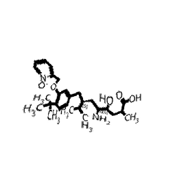 CC(C[C@H](O)[C@@H](N)C[C@H](Cc1ccc(C(C)(C)C)c(OCc2cccc[n+]2[O-])c1)C(C)C)C(=O)O